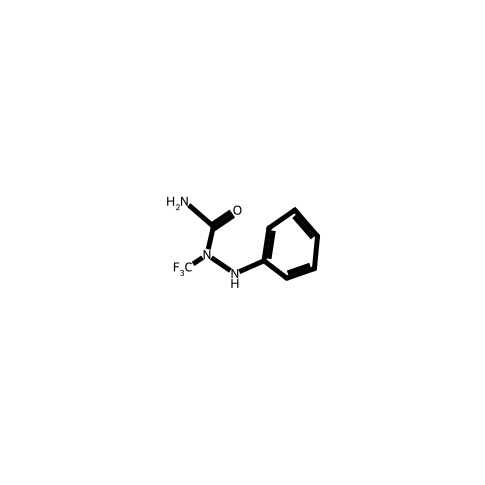 NC(=O)N(Nc1ccccc1)C(F)(F)F